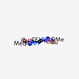 CC[C@H](C)[C@H](NC(=O)OC)C(=O)N1CCC[C@H]1c1ncc(-c2ccc3cc(C#Cc4[nH]c([C@@H]5CCCN5C(=O)[C@@H](NC(=O)OC)[C@@H](C)CC)nc4C(F)(F)F)ccc3c2)[nH]1